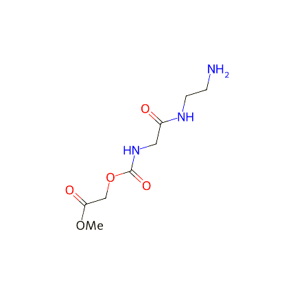 COC(=O)COC(=O)NCC(=O)NCCN